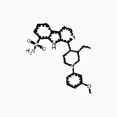 CCC1CN(c2cccc(OC)c2)CCC1c1nccc2c1[nH]c1c(S(N)(=O)=O)cccc12